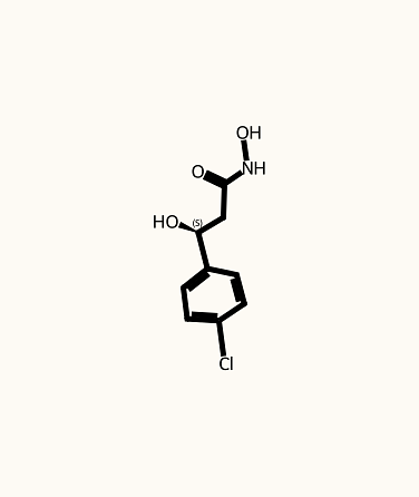 O=C(C[C@H](O)c1ccc(Cl)cc1)NO